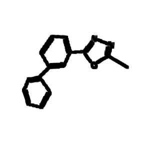 Cc1nnc(-c2cccc(-c3ccccc3)c2)o1